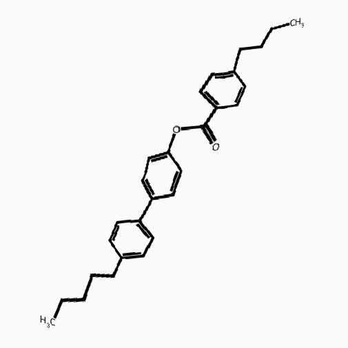 CCCCCc1ccc(-c2ccc(OC(=O)c3ccc(CCCC)cc3)cc2)cc1